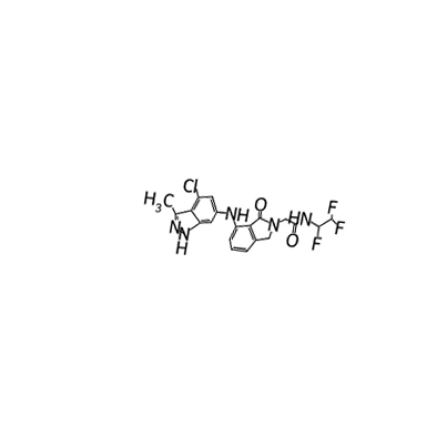 Cc1n[nH]c2cc(Nc3cccc4c3C(=O)N(CC(=O)NC(F)C(F)F)C4)cc(Cl)c12